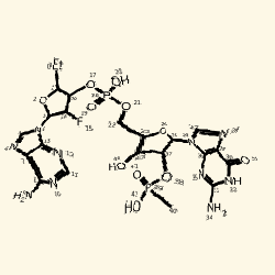 CCC1OC(n2cnc3c(N)ncnc32)C(F)C1OP(=O)(O)OCC1OC(n2cnc3c(=O)[nH]c(N)nc32)C(OP(C)(=O)O)C1O